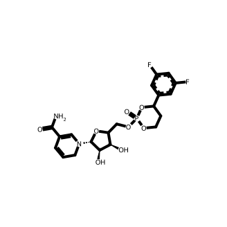 NC(=O)C1=CN([C@@H]2OC(COP3(=O)OCCC(c4cc(F)cc(F)c4)O3)[C@@H](O)[C@H]2O)CC=C1